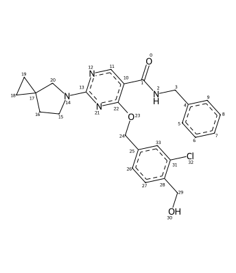 O=C(NCc1ccccc1)c1cnc(N2CCC3(CC3)C2)nc1OCc1ccc(CO)c(Cl)c1